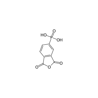 O=C1OC(=O)c2cc(P(=O)(O)O)ccc21